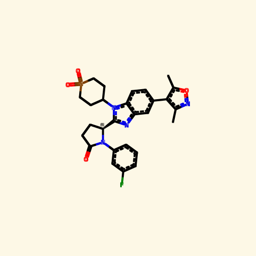 Cc1noc(C)c1-c1ccc2c(c1)nc([C@@H]1CCC(=O)N1c1cccc(F)c1)n2C1CCS(=O)(=O)CC1